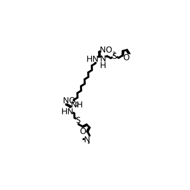 CN(C)Cc1ccc(CSCCNC(=C[N+](=O)[O-])NCCCCCCCCCCCCNC(=C[N+](=O)[O-])NCCSCc2ccco2)o1